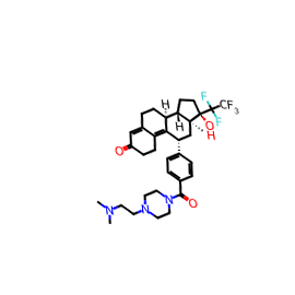 CN(C)CCN1CCN(C(=O)c2ccc([C@H]3C[C@@]4(C)[C@@H](CC[C@]4(O)C(F)(F)C(F)(F)F)[C@@H]4CCC5=CC(=O)CCC5=C43)cc2)CC1